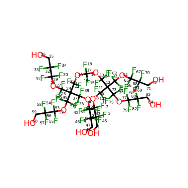 OCC(F)(F)C(F)(F)OC(F)(F)C(C(F)(F)OC(F)(F)OC(F)(F)C(C(F)(F)OC(F)(F)C(F)(F)CO)(C(F)(F)OC(F)(F)C(F)(F)CO)C(F)(F)OC(F)(F)C(F)(F)CO)(C(F)(F)OC(F)(F)C(F)(F)CO)C(F)(F)OC(F)(F)C(F)(F)CO